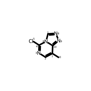 Cc1cnc(Cl)n2cnnc12